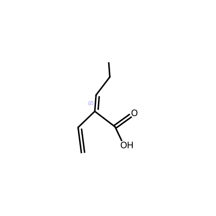 C=C/C(=C/CC)C(=O)O